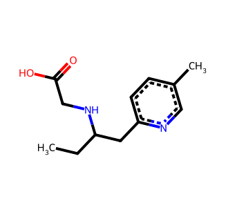 CCC(Cc1ccc(C)cn1)NCC(=O)O